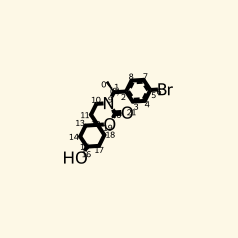 C[C@@H](c1ccc(Br)cc1)N1CCC2(CCC(O)CC2)OC1=O